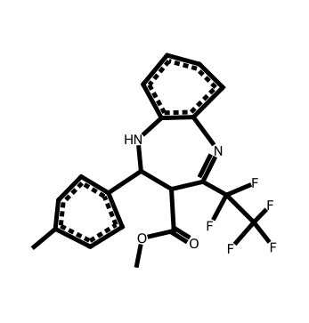 COC(=O)C1C(C(F)(F)C(F)(F)F)=Nc2ccccc2NC1c1ccc(C)cc1